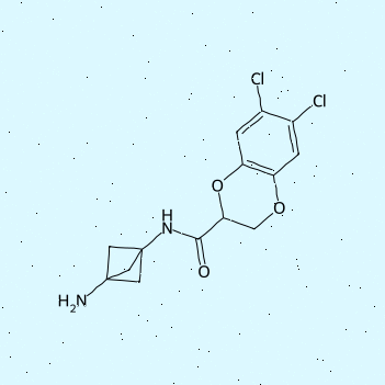 NC12CC(NC(=O)C3COc4cc(Cl)c(Cl)cc4O3)(C1)C2